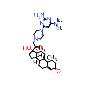 CCN(CC)c1cc(N2CCN(CC(=O)[C@@]3(O)CC[C@H]4[C@@H]5CCC6=CC(=O)CC[C@]6(C)C5=CC[C@@]43C)CC2)nc(N)n1